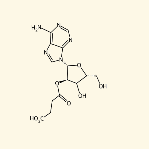 Nc1ncnc2c1ncn2[C@@H]1O[C@H](CO)C(O)[C@H]1OC(=O)CCC(=O)O